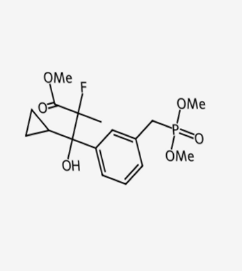 COC(=O)C(C)(F)C(O)(c1cccc(CP(=O)(OC)OC)c1)C1CC1